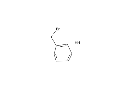 BrCc1ccccc1.[HH]